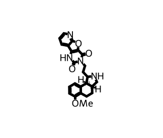 COc1cccc2c1CC[C@H]1CNC(CCn3c(=O)[nH]c4c(oc5ncccc54)c3=O)[C@@H]21